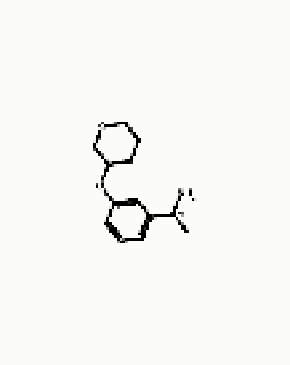 C[C@H](N)c1cccc(OC2CCCOC2)c1